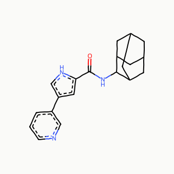 O=C(NC1C2CC3CC(C2)CC1C3)c1cc(-c2cccnc2)c[nH]1